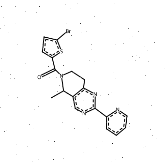 CC1c2cnc(-c3ccccn3)nc2CCN1C(=O)c1ccc(Br)s1